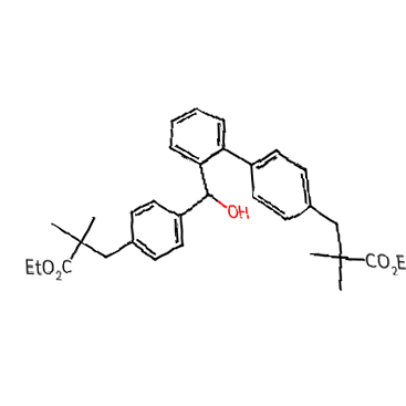 CCOC(=O)C(C)(C)Cc1ccc(-c2ccccc2C(O)c2ccc(CC(C)(C)C(=O)OCC)cc2)cc1